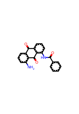 Nc1cccc2c1C(=O)c1c(NC(=O)c3ccccc3)cccc1C2=O